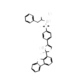 O=C(O)C(Cc1ccccc1)NS(=O)(=O)c1ccc(C2=CS[C@](Br)(c3cccc4c3oc3ccccc34)N2)cc1